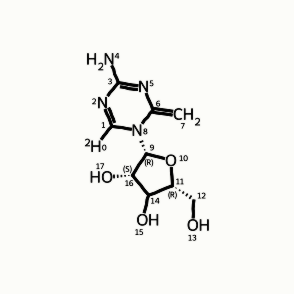 [2H]C1=NC(N)=NC(=C)N1[C@@H]1O[C@H](CO)C(O)[C@@H]1O